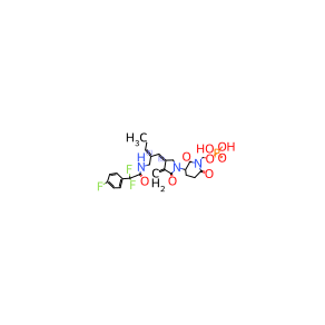 C=C1C(=O)N(C2CCC(=O)N(COP(=O)(O)O)C2=O)C/C1=C/C(=C\CC)CNC(=O)C(F)(F)c1ccc(F)cc1